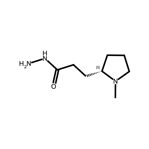 CN1CCC[C@H]1CCC(=O)NN